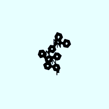 Fc1ccc(-n2c3ccccc3c3c2ccc2c4ccccc4n(-c4ccc(-c5nc(-c6ccccc6)c6ccccc6n5)cc4)c23)c(-c2ccccc2)c1